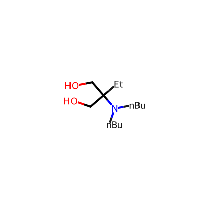 CCCCN(CCCC)C(CC)(CO)CO